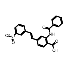 O=C(Nc1cc(/C=C/c2cccc([N+](=O)[O-])c2)ccc1C(=O)O)c1ccccc1